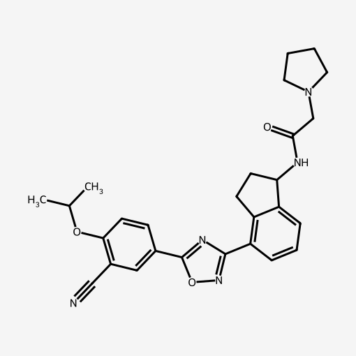 CC(C)Oc1ccc(-c2nc(-c3cccc4c3CCC4NC(=O)CN3CCCC3)no2)cc1C#N